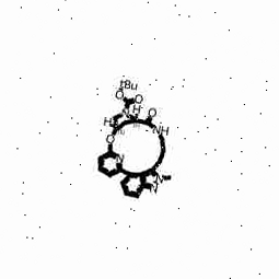 Cn1nc2cccc3c2c1CCCNC(=O)[C@@H]1C[C@@H](CN1C(=O)OC(C)(C)C)Oc1cccc-3n1